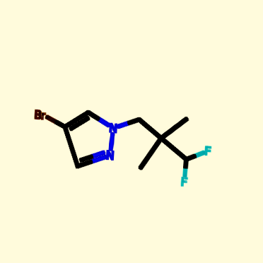 CC(C)(Cn1cc(Br)cn1)C(F)F